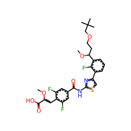 COC(=Cc1c(F)cc(C(=O)Nc2nc(-c3cccc(C(CCOCC(C)(C)C)OC)c3F)cs2)cc1F)C(=O)O